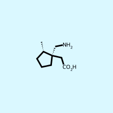 C[C@H]1CCC[C@]1(CN)CC(=O)O